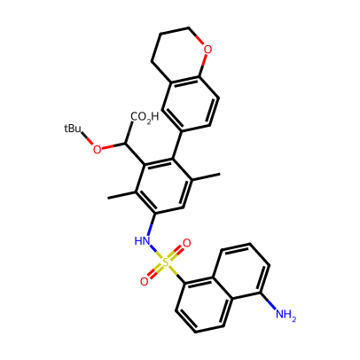 Cc1cc(NS(=O)(=O)c2cccc3c(N)cccc23)c(C)c(C(OC(C)(C)C)C(=O)O)c1-c1ccc2c(c1)CCCO2